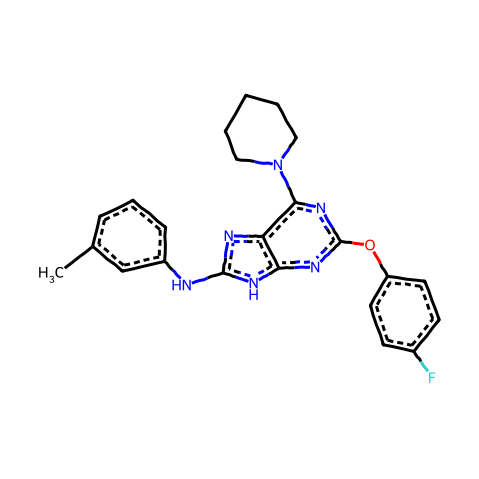 Cc1cccc(Nc2nc3c(N4CCCCC4)nc(Oc4ccc(F)cc4)nc3[nH]2)c1